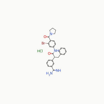 Cl.N=C(N)c1cccc(C(Cc2ccccc2)C(=O)Nc2ccc(C(=O)N3CCCC3)c(Br)c2)c1